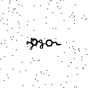 CCC[C@H]1CC[C@H](C(=O)Oc2cnc(F)c(F)c2)CC1